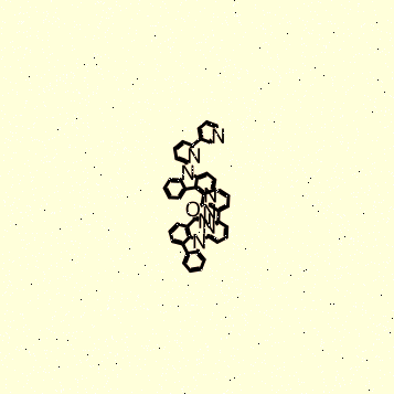 c1cncc(-c2cccc(-n3c4ccccc4c4c(-c5nnc(-c6cccc7c8ccccc8n(-c8cccc(-c9cccnc9)n8)c67)o5)cccc43)n2)c1